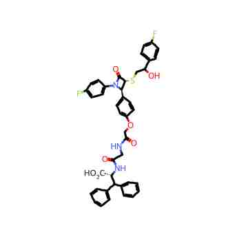 O=C(COc1ccc([C@@H]2[C@@H](SCC(O)c3ccc(F)cc3)C(=O)N2c2ccc(F)cc2)cc1)NCC(=O)N[C@@H](C(=O)O)C(c1ccccc1)c1ccccc1